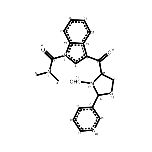 CN(C)C(=O)n1cc(C(=O)C2CSC(c3cccnc3)N2C=O)c2ccccc21